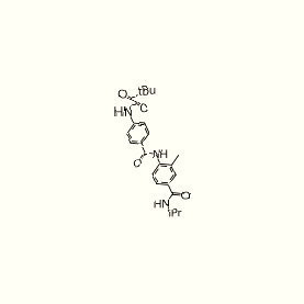 Cc1cc(C(=O)NC(C)C)ccc1NC(=O)c1ccc(NS(=O)(=O)C(C)(C)C)cc1